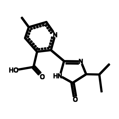 Cc1cnc(C2=NC(C(C)C)C(=O)N2)c(C(=O)O)c1